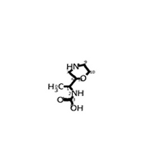 CC(NC(=O)O)C1CNCCO1